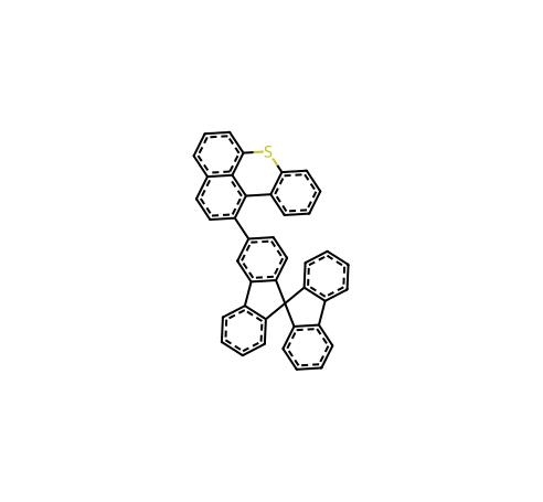 c1ccc2c(c1)Sc1cccc3ccc(-c4ccc5c(c4)-c4ccccc4C54c5ccccc5-c5ccccc54)c-2c13